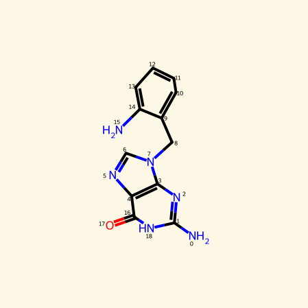 Nc1nc2c(ncn2Cc2ccccc2N)c(=O)[nH]1